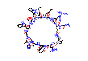 CCCC[C@H]1C(=O)N(C)[C@@H](CCCC)C(=O)N[C@@H](CCCNC(=N)N)C(=O)N[C@H](C(=O)NCC(N)=O)CSCC(=O)N[C@H]2Cc3c(C)cccc3N(C2=O)[C@@H](C)C(=O)N[C@@H](CC(N)=O)C(=O)N2CCC[C@H]2C(=O)N[C@@H](Cc2cnc[nH]2)C(=O)N[C@@H](CC(C)C)C(=O)N(C)CC(=O)N[C@@H](Cc2c[nH]c3ccccc23)C(=O)N[C@@H](CO)C(=O)N[C@@H](Cc2c[nH]c3ccccc23)C(=O)N1C